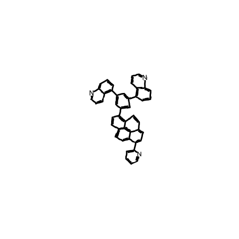 c1ccc(-c2ccc3ccc4c(-c5cc(-c6cccc7ncccc67)cc(-c6cccc7ncccc67)c5)ccc5ccc2c3c54)nc1